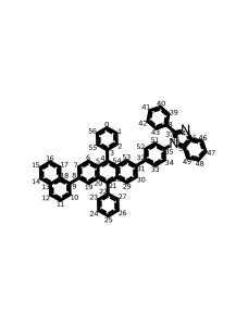 c1ccc(-c2c3ccc(-c4cccc5ccccc45)cc3c(-c3ccccc3)c3ccc(-c4ccc(-n5c(-c6ccccc6)nc6ccccc65)cc4)cc23)cc1